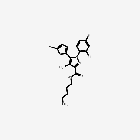 CCCCCNC(=O)c1nn(-c2ccc(Cl)cc2Cl)c(-c2ccc(Cl)s2)c1C